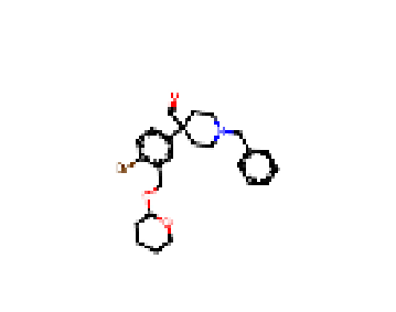 O=CC1(c2ccc(Br)c(COC3CCCCO3)c2)CCN(Cc2ccccc2)CC1